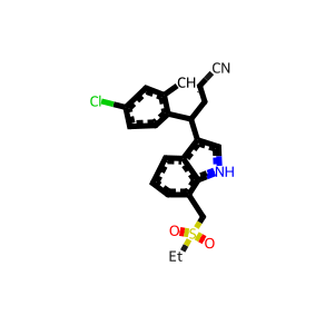 CCS(=O)(=O)Cc1cccc2c(C(CCC#N)c3ccc(Cl)cc3C)c[nH]c12